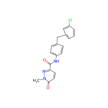 Cn1nc(C(=O)Nc2ccc(Cc3cccc(Cl)c3)cc2)ccc1=O